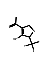 CC(=O)C1=C(O)C(C(F)(F)F)SC1